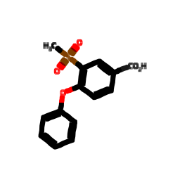 CS(=O)(=O)c1cc(C(=O)O)ccc1Oc1ccccc1